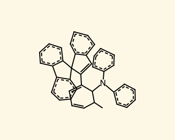 CC1C=CC=C(C2=Cc3ccccc3C23c2ccccc2-c2ccccc23)C1N(c1ccccc1)c1ccccc1